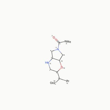 CNC(=O)N1CC2NCC(C(C=O)C(C)C)OC2C1